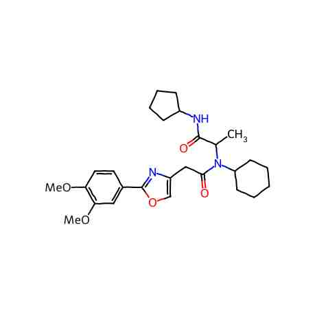 COc1ccc(-c2nc(CC(=O)N(C3CCCCC3)C(C)C(=O)NC3CCCC3)co2)cc1OC